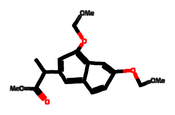 COCOc1ccc2cc(C(C)C(=O)OC)cc(OCOC)c2c1